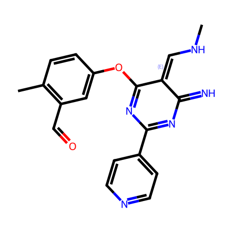 CN/C=C1\C(=N)N=C(c2ccncc2)N=C1Oc1ccc(C)c(C=O)c1